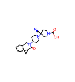 N#CC1(N2CCC(N(Cc3ccccc3)C(=O)C3CC3)CC2)CCN(C(=O)O)CC1